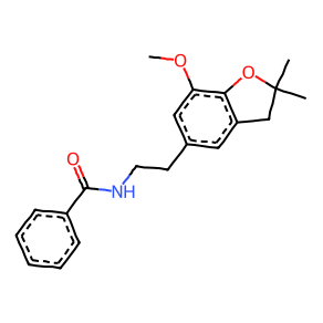 COc1cc(CCNC(=O)c2ccccc2)cc2c1OC(C)(C)C2